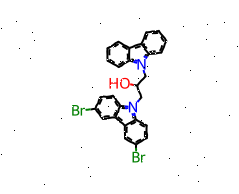 OC(Cn1c2ccccc2c2ccccc21)Cn1c2ccc(Br)cc2c2cc(Br)ccc21